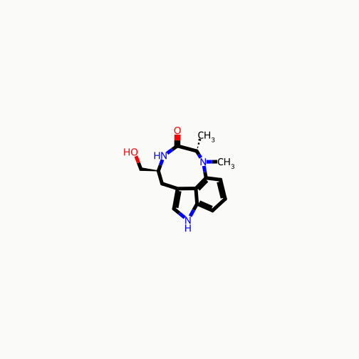 C[C@H]1C(=O)N[C@H](CO)Cc2c[nH]c3cccc(c23)N1C